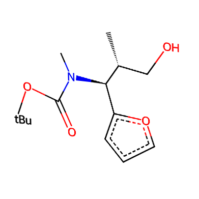 C[C@H](CO)[C@@H](c1ccco1)N(C)C(=O)OC(C)(C)C